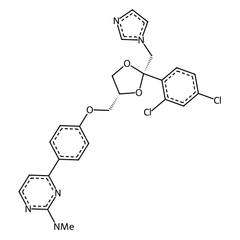 CNc1nccc(-c2ccc(OC[C@@H]3CO[C@@](Cn4ccnc4)(c4ccc(Cl)cc4Cl)O3)cc2)n1